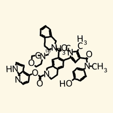 Cc1c(C(=O)N(C)c2ccc(O)cc2)cc(-c2cc3c(cc2C(=O)N2Cc4ccccc4C[C@H]2CN2CCOCC2)CN(C(=O)Oc2ccnc4[nH]ccc24)CC3)n1C